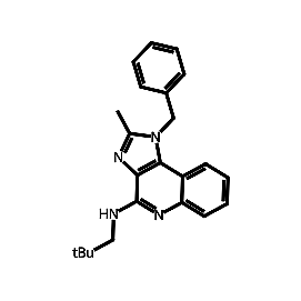 Cc1nc2c(NCC(C)(C)C)nc3ccccc3c2n1Cc1ccccc1